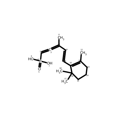 CC(=C=CP(=O)(O)O)/C=C/C1=C(C)CCCC1(C)C